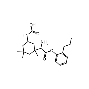 CCCc1ccccc1OC(=O)C(N)C1(C)CC(NC(=O)O)CC(C)(C)C1